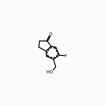 O=C1CCc2cc(CO)c(F)cc21